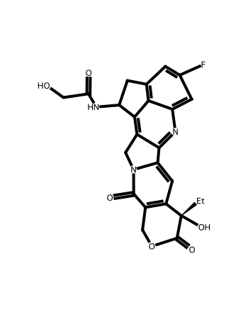 CC[C@@]1(O)C(=O)OCc2c1cc1n(c2=O)Cc2c-1nc1cc(F)cc3c1c2C(NC(=O)CO)C3